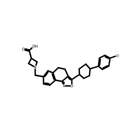 O=C(O)C1CN(Cc2ccc3c(c2)CCc2c-3noc2C2CCC(c3ccc(Cl)cc3)CC2)C1